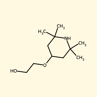 CC1(C)CC(OCCO)CC(C)(C)N1